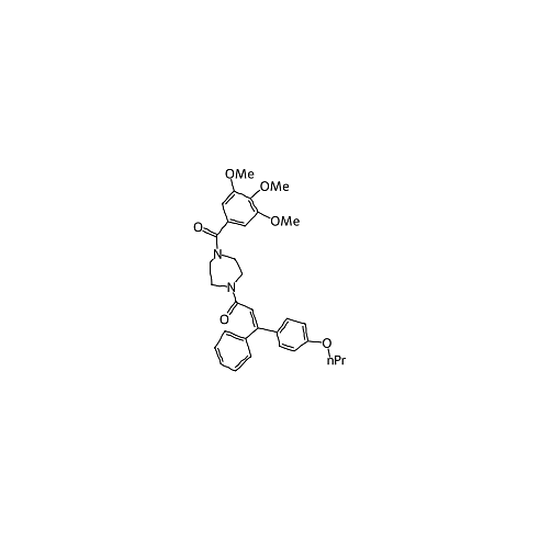 CCCOc1ccc(C(=CC(=O)N2CCN(C(=O)c3cc(OC)c(OC)c(OC)c3)CC2)c2ccccc2)cc1